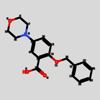 O=C(O)c1cc(N2CCOCC2)ccc1OCc1ccccc1